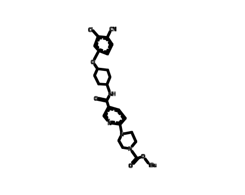 CC(C)(C)OC(=O)N1CCN(c2ccc(C(=O)NC3CCC(Oc4ccc(C#N)c(Cl)c4)CC3)cn2)CC1